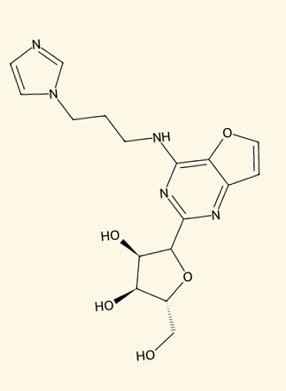 OC[C@H]1OC(c2nc(NCCCn3ccnc3)c3occc3n2)[C@H](O)[C@@H]1O